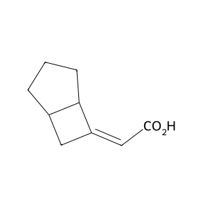 O=C(O)/C=C1/CC2CCCC12